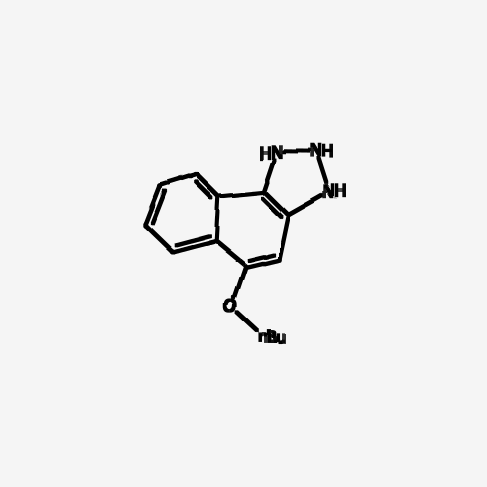 CCCCOc1cc2c(c3ccccc13)NNN2